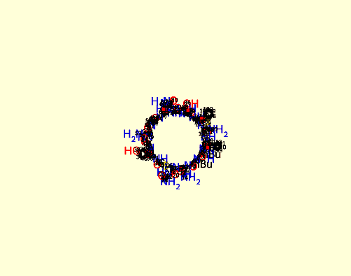 CCCC[C@H]1C(=O)N(C)[C@@H](CCCC)C(=O)N[C@@H](CCN)C(=O)N[C@H](C(=O)NCC(N)=O)CSCC(=O)N[C@@H](Cc2ccc(O)cc2)C(=O)N(C)[C@@H](C)C(=O)N[C@@H](CC(N)=O)C(=O)N2CCC[C@H]2C(=O)N[C@@H](Cc2cnc[nH]2)C(=O)N[C@@H](CCC(N)=O)C(=O)N2C[C@H](O)C[C@H]2C(=O)N[C@@H](Cc2csc3ccccc23)C(=O)N[C@@H](CCN)C(=O)N[C@@H](Cc2c[nH]c3ccccc23)C(=O)N1C